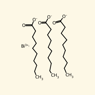 CCCCCCCCCC(=O)[O-].CCCCCCCCCC(=O)[O-].CCCCCCCCCC(=O)[O-].[Bi+3]